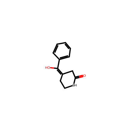 O=C1BCCC(=C(O)c2ccccc2)C1